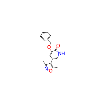 Cc1noc(C)c1-c1c[nH]c(=O)c(OCc2ccccc2)c1